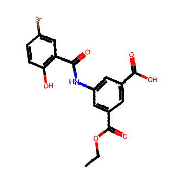 CCOC(=O)c1cc(NC(=O)c2cc(Br)ccc2O)cc(C(=O)O)c1